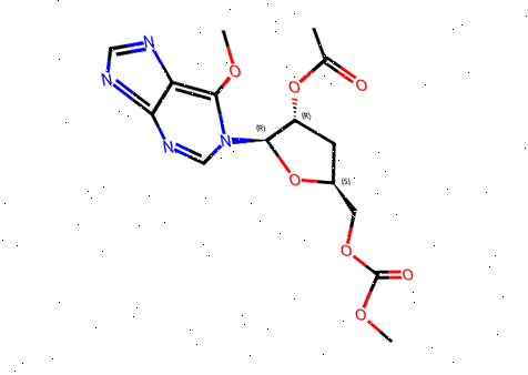 COC(=O)OC[C@@H]1C[C@@H](OC(C)=O)[C@H](n2cnc3ncnc-3c2OC)O1